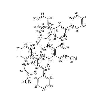 N#Cc1ccc(-c2ccc3c4ccccc4n(-c4c(-c5nc(-c6ccccc6)cc(-c6ccccc6)n5)cc(C#N)cc4-c4nc(-c5ccccc5)cc(-c5ccccc5)n4)c3c2)cc1